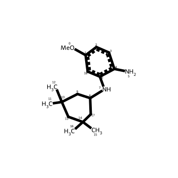 COc1ccc(N)c(NC2CC(C)(C)CC(C)(C)C2)c1